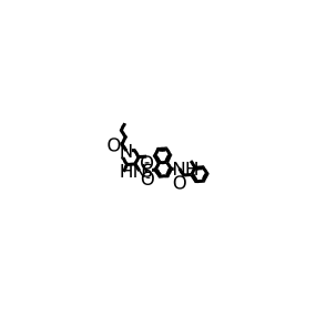 CCCC(=O)N1CC(C)C(NS(=O)(=O)c2ccc(NC(=O)c3ccccc3C)c3ccccc23)C(C)C1